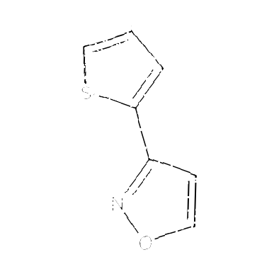 [c]1csc(-c2ccon2)c1